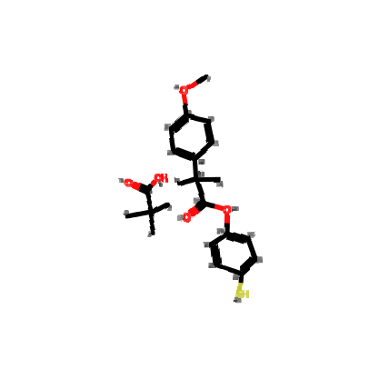 CC(C)(C)C(=O)O.COc1ccc(C(C)(C)C(=O)Oc2ccc(S)cc2)cc1